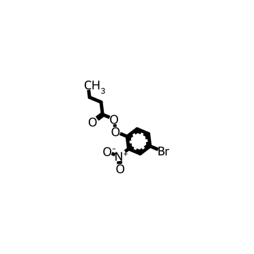 CCCC(=O)OOc1ccc(Br)cc1[N+](=O)[O-]